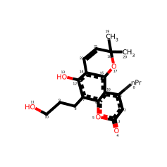 CCCc1cc(=O)oc2c(CCCO)c(O)c3c(c12)OC(C)(C)C=C3